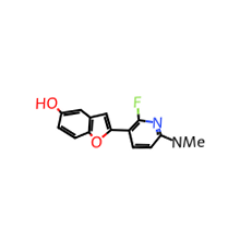 CNc1ccc(-c2cc3cc(O)ccc3o2)c(F)n1